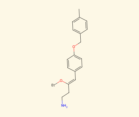 CCOC(=Cc1ccc(OCc2ccc(C)cc2)cc1)CCN